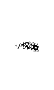 CCOC(=O)CN(Cc1ccccc1)C(C)=O